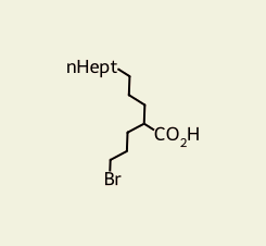 CCCCCCCCCCC(CCCBr)C(=O)O